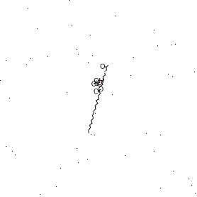 CCCCCCCCCCCCCCCCCC(=O)OC(CCCCCCCC(C)=O)CS(=O)(=O)O